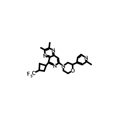 Cc1cc(C2CN(c3cc4nc(C)c(C)nc4c(C4CC(C(F)(F)F)C4)n3)CCO2)ccn1